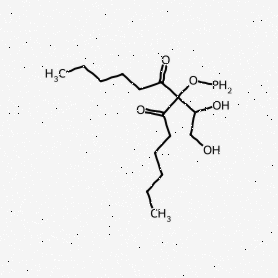 CCCCCC(=O)C(OP)(C(=O)CCCCC)C(O)CO